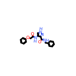 O=C(COc1ccccc1)Nc1c[nH]nc1C(=O)NCc1ccccc1